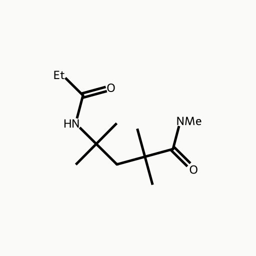 CCC(=O)NC(C)(C)CC(C)(C)C(=O)NC